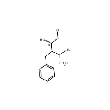 CC(C)(C)N(C(=O)O)C(Cc1ccccc1)[C@@H](O)CCl